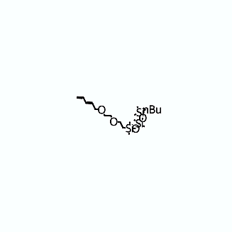 C=CC=CCOCCOCC[Si](C)(C)O[Si](C)(C)O[Si](C)(C)CCCC